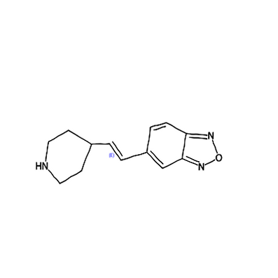 C(=C\C1CCNCC1)/c1ccc2nonc2c1